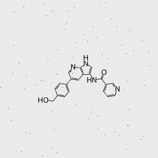 O=C(Nc1c[nH]c2ncc(-c3ccc(CO)cc3)cc12)c1cccnc1